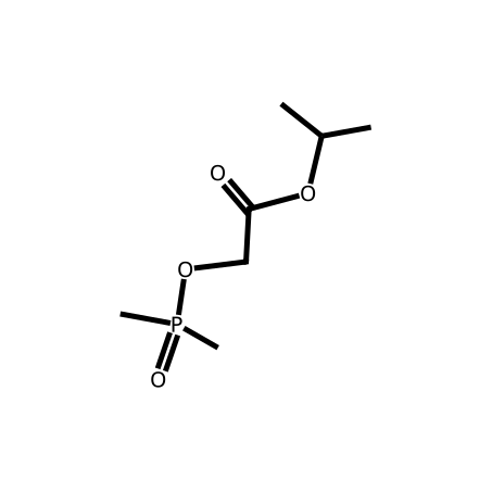 CC(C)OC(=O)COP(C)(C)=O